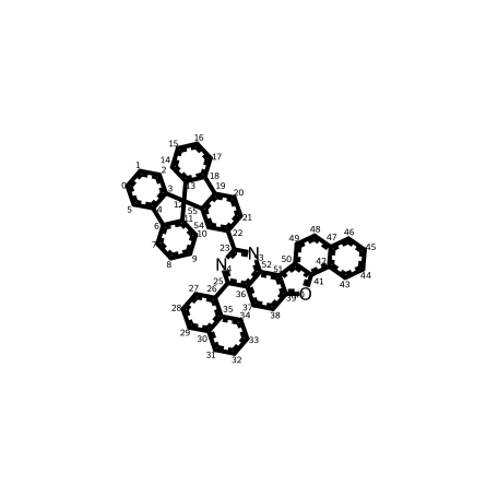 c1ccc2c(c1)-c1ccccc1C21c2ccccc2-c2ccc(-c3nc(-c4cccc5ccccc45)c4ccc5oc6c7ccccc7ccc6c5c4n3)cc21